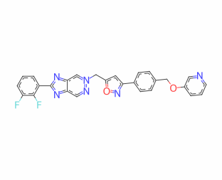 Fc1cccc(-c2nc3cnn(Cc4cc(-c5ccc(COc6cccnc6)cc5)no4)cc-3n2)c1F